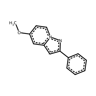 COc1ccn2nc(-c3ccccc3)[c]c2c1